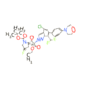 CCOC(=O)[C@@H](C(=O)[C@@H]1C[C@@H](F)CN1C(=O)OC(C)(C)C)n1cc2c(Cl)cc(-c3ccc(N4CCOCC4)cc3)c(C(F)F)c2n1